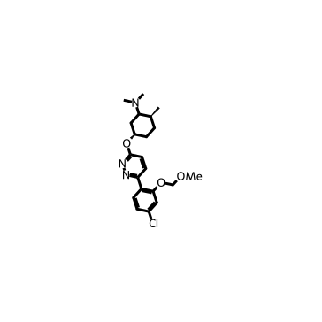 COCOc1cc(Cl)ccc1-c1ccc(O[C@@H]2CC[C@H](C)C(N(C)C)C2)nn1